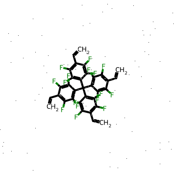 C=Cc1c(F)c(F)c(C(c2c(F)c(F)c(C=C)c(F)c2F)(c2c(F)c(F)c(C=C)c(F)c2F)c2c(F)c(F)c(C=C)c(F)c2F)c(F)c1F